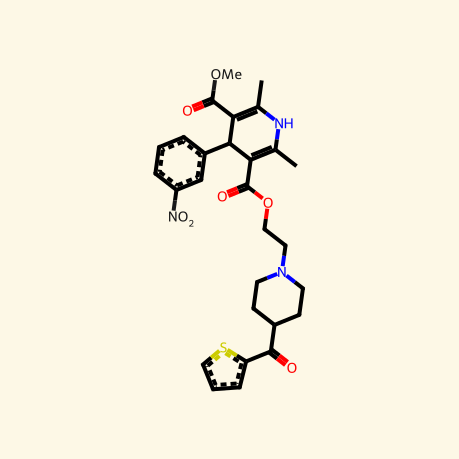 COC(=O)C1=C(C)NC(C)=C(C(=O)OCCN2CCC(C(=O)c3cccs3)CC2)C1c1cccc([N+](=O)[O-])c1